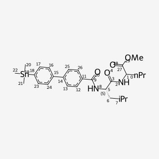 CCCC(NC(=O)[C@H](CC(C)C)NC(=O)c1ccc(-c2cc[c]([Sn]([CH3])([CH3])[CH3])cc2)cc1)C(=O)OC